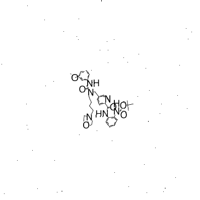 COc1cccc(NC(=O)N(CCCCN2CCOCC2)Cc2ccc(C(=O)Nc3ccccc3NC(=O)OC(C)(C)C)nc2)c1